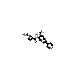 CCOc1cc2nc(C3CCOCC3)cn2cc1NC(=O)c1ccn(C)n1